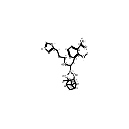 COc1c(CC(NC(=O)CCc2cncs2)B2OC3CC4CC(C4(C)C)C3(C)O2)cccc1C(=O)O